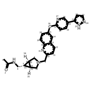 CC(=O)NC[C@@H]1[C@H]2CN(Cc3ccc4cc(Oc5ccc(-c6ccn[nH]6)cn5)ccc4n3)C[C@@H]12